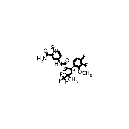 COc1c([C@@H]2C[C@@](C)(C(F)(F)F)O[C@@H]2C(=O)Nc2cc[n+]([O-])c(C(N)=O)c2)ccc(F)c1F